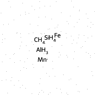 C.[AlH3].[Fe].[Mn].[SiH4]